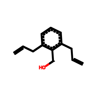 C=CCc1cccc(CC=C)c1[CH]O